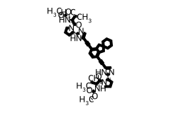 COC(=O)N[C@H](C(=O)N1CCC[C@H]1c1ncc(C#Cc2ccc(C#Cc3cnc([C@@H]4CCCN4C(=O)[C@@H](NC(=O)OC)C(C)C)[nH]3)c3c2CC2(CCCCC2)C3)[nH]1)C(C)C